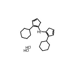 C1=CC(C2CCCCC2)=[C]([Hf][C]2=C(C3CCCCC3)C=CC2)C1.Cl.Cl